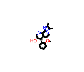 COc1ccccc1[C@H]1c2ccn3c(C)c(C)nc3c2NC[C@H]1O